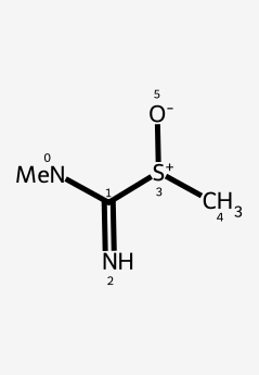 CNC(=N)[S+](C)[O-]